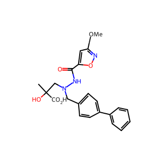 COc1cc(C(=O)NN(Cc2ccc(-c3ccccc3)cc2)CC(C)(O)C(=O)O)on1